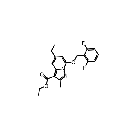 CCOC(=O)c1c(C)nn2c(OCc3c(F)cccc3F)cc(CC)cc12